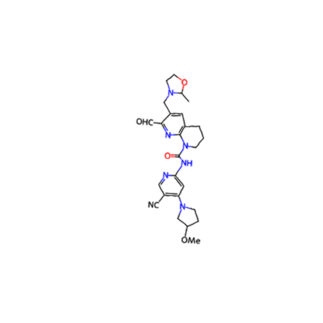 COC1CCN(c2cc(NC(=O)N3CCCc4cc(CN5CCOC5C)c(C=O)nc43)ncc2C#N)C1